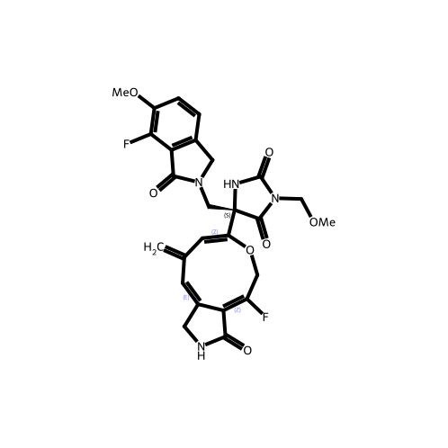 C=C1/C=C(/[C@]2(CN3Cc4ccc(OC)c(F)c4C3=O)NC(=O)N(COC)C2=O)OC/C(F)=C2/C(=O)NC/C2=C/1